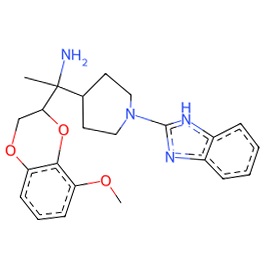 COc1cccc2c1OC(C(C)(N)C1CCN(c3nc4ccccc4[nH]3)CC1)CO2